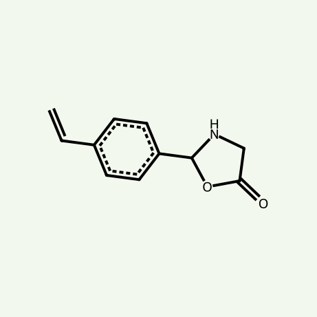 C=Cc1ccc(C2NCC(=O)O2)cc1